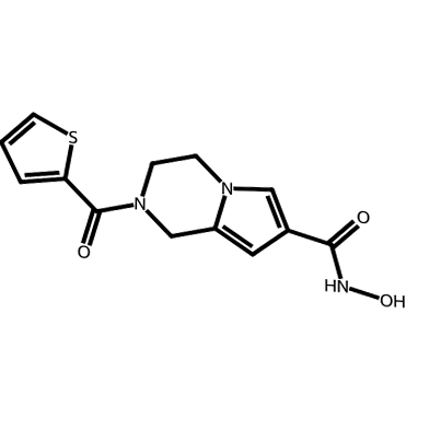 O=C(NO)c1cc2n(c1)CCN(C(=O)c1cccs1)C2